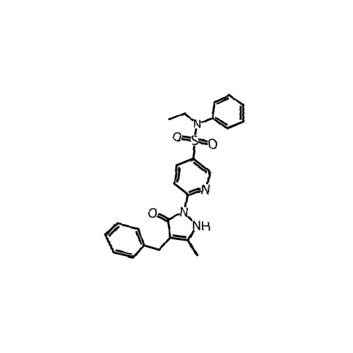 CCN(c1ccccc1)S(=O)(=O)c1ccc(-n2[nH]c(C)c(Cc3ccccc3)c2=O)nc1